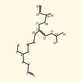 C=CCCC(CC)CCCCC(=CCC(C)C)CCC(C)C=C